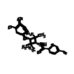 CC1(C)[C@H](NC(=O)c2ccc(Br)cn2)C(C)(C)[C@H]1Oc1ccc(C#N)c(Cl)c1